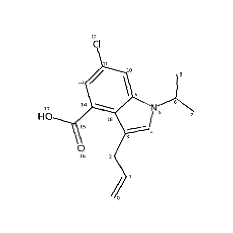 C=CCc1cn(C(C)C)c2cc(Cl)cc(C(=O)O)c12